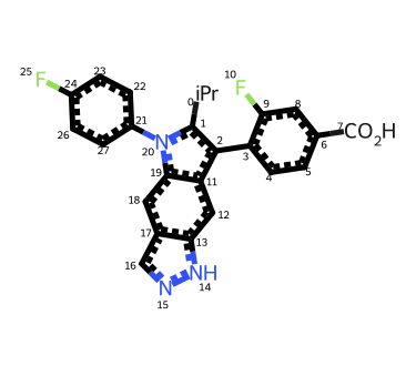 CC(C)c1c(-c2ccc(C(=O)O)cc2F)c2cc3[nH]ncc3cc2n1-c1ccc(F)cc1